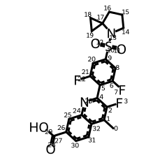 Cc1c(F)c(-c2c(F)cc(S(=O)(=O)N3CCCC34CC4)cc2F)nc2cc(C(=O)O)ccc12